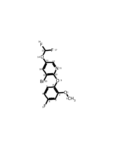 COc1cc(F)ccc1Oc1ncc(OC(F)F)cc1Br